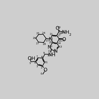 COc1cc(CO)cc(CNc2ncc3c(=O)c(C(N)=O)cn(C4CCCCC4)c3n2)c1